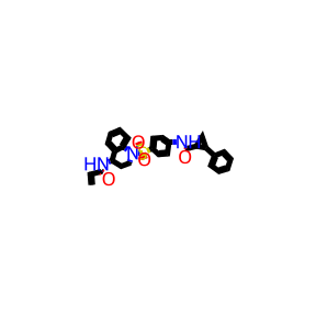 C=CC(=O)NC1CCN(S(=O)(=O)c2ccc(NC(=O)C3CC3c3ccccc3)cc2)c2ccccc21